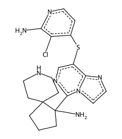 Nc1nccc(Sc2cnc(C3(N)CCCC34CCNCC4)n3ccnc23)c1Cl